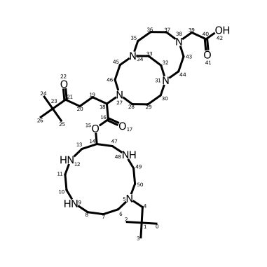 CC(C)(C)CN1CCCNCCNCC(OC(=O)C(CCC(=O)C(C)(C)C)N2CCCN3CCN(CCCN(CC(=O)O)CC3)CC2)CNCC1